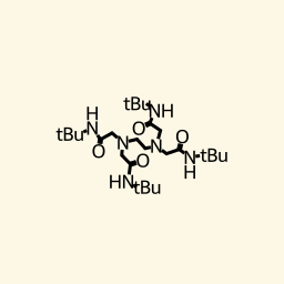 CC(C)(C)NC(=O)CN(CCN(CC(=O)NC(C)(C)C)CC(=O)NC(C)(C)C)CC(=O)NC(C)(C)C